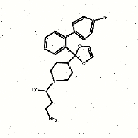 CC(CCN)N1CCC(C2(c3ccccc3-c3ccc(Br)cc3)OC=CO2)CC1